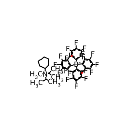 CC(C)[N+](C)(C(C)C)C1CCCCC1.Fc1c(F)c(F)c([B-](c2c(F)c(F)c(F)c(F)c2F)(c2c(F)c(F)c(F)c(F)c2F)c2c(F)c(F)c(F)c(F)c2F)c(F)c1F